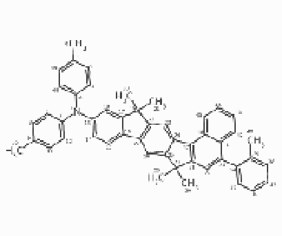 Cc1ccc(N(c2ccc(C)cc2)c2ccc3c(c2)C(C)(C)c2cc4c(cc2-3)C(C)(C)c2cc(-c3ccccc3C)c3ccccc3c2-4)cc1